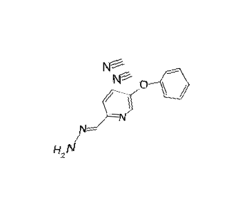 C#N.C#N.NN=Cc1ccc(Oc2ccccc2)cn1